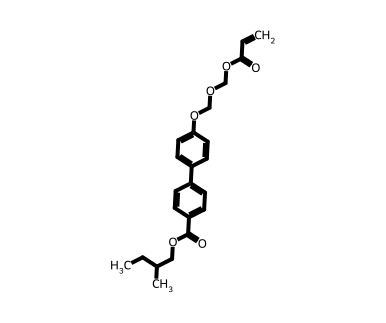 C=CC(=O)OCOCOc1ccc(-c2ccc(C(=O)OCC(C)CC)cc2)cc1